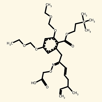 C=CC(C)C/C=C/C(Cc1cc(OCOCC)cc(OCOCC)c1C(=O)OCC[Si](C)(C)C)=NOCC(=O)O